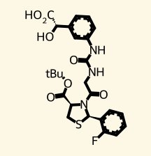 CC(C)(C)OC(=O)[C@@H]1CS[C@H](c2ccccc2F)N1C(=O)CNC(=O)Nc1cccc([C@H](O)C(=O)O)c1